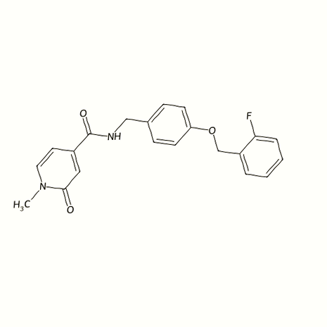 Cn1ccc(C(=O)NCc2ccc(OCc3ccccc3F)cc2)cc1=O